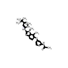 CN/C(=C\C(=N)C(C)(C)C)Nc1nc2ccc(Oc3ccnc(NC(C)=O)c3)c(C)c2n1C